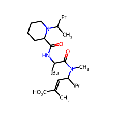 C/C(=C\C(C(C)C)N(C)C(=O)C(NC(=O)C1CCCCN1C(C)C(C)C)C(C)(C)C)C(=O)O